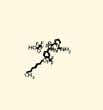 CCCCC=CCCOc1ccc(-c2noc(C3CCCN3C(=N)N)n2)cc1C(F)(F)F.O=C(O)C(F)(F)F